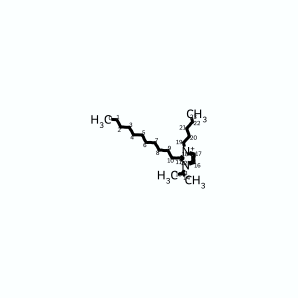 CCCCCCCCCCCc1n(C(C)C)cc[n+]1CCCCC